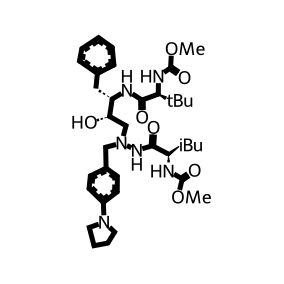 CC[C@H](C)[C@H](NC(=O)OC)C(=O)NN(Cc1ccc(N2CCCC2)cc1)C[C@H](O)[C@H](Cc1ccccc1)NC(=O)[C@@H](NC(=O)OC)C(C)(C)C